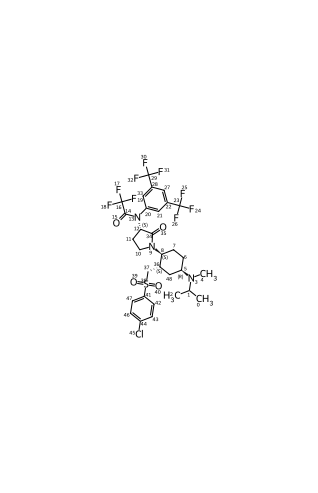 CC(C)N(C)[C@@H]1CC[C@H](N2CC[C@H](N(C(=O)C(F)(F)F)c3cc(C(F)(F)F)cc(C(F)(F)F)c3)C2=O)[C@@H](CS(=O)(=O)c2ccc(Cl)cc2)C1